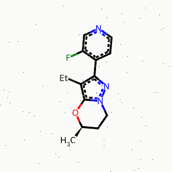 CCc1c(-c2ccncc2F)nn2c1O[C@H](C)CC2